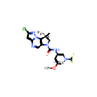 CCCO/C(C)=C/C(=C\N(C=O)C(F)F)NC(=O)N1C[C@@](C)(C(F)(F)F)c2c1cnc1cc(Cl)nn21